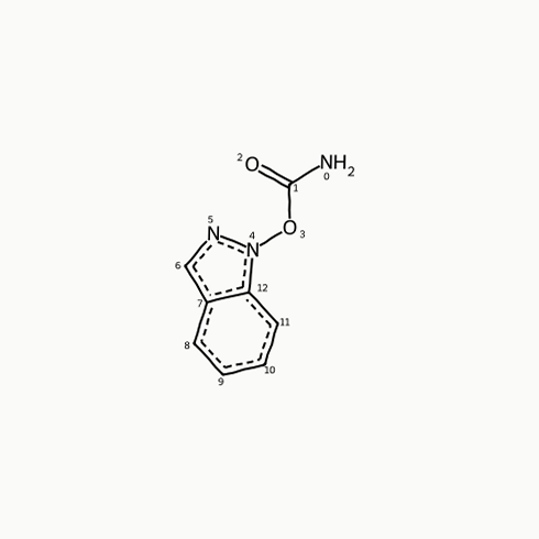 NC(=O)On1ncc2ccccc21